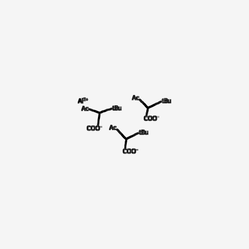 CC(=O)C(C(=O)[O-])C(C)(C)C.CC(=O)C(C(=O)[O-])C(C)(C)C.CC(=O)C(C(=O)[O-])C(C)(C)C.[Al+3]